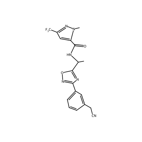 CC(NC(=O)c1cc(C(F)(F)F)nn1C)c1nc(-c2cccc(CC#N)c2)no1